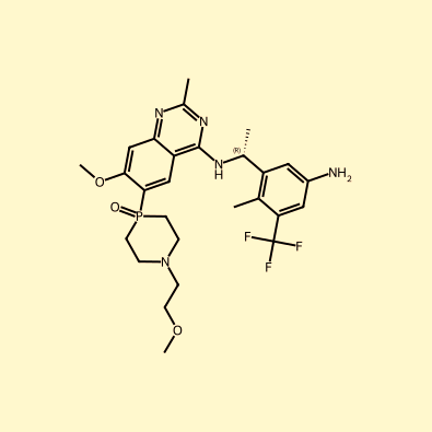 COCCN1CCP(=O)(c2cc3c(N[C@H](C)c4cc(N)cc(C(F)(F)F)c4C)nc(C)nc3cc2OC)CC1